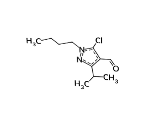 CCCCn1nc(C(C)C)c(C=O)c1Cl